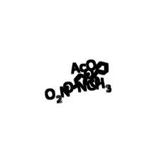 CC(=O)Oc1ccccc1C(=O)Oc1ccc(CO[N+](=O)[O-])nc1C